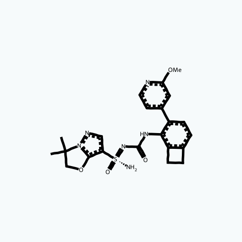 COc1cc(-c2ccc3c(c2NC(=O)N=[S@@](N)(=O)c2cnn4c2OCC4(C)C)CC3)ccn1